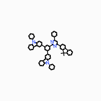 CC1(C)c2ccccc2-c2ccc(-c3cc(-c4ccccc4)nc(-c4cc(-c5ccc6c(c5)c5ccccc5n6-c5ccccc5)cc(-c5ccc6c(c5)c5ccccc5n6-c5ccccc5)c4)n3)cc21